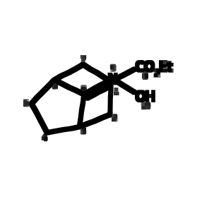 CCOC(=O)C1CC2CCC(C1)C2=NO